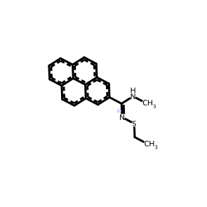 CCS/N=C(\NC)c1cc2ccc3cccc4ccc(c1)c2c34